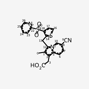 Cc1c(CC(=O)O)c2ccc(C#N)cn2c1Cc1sccc1S(=O)(=O)c1ccccn1